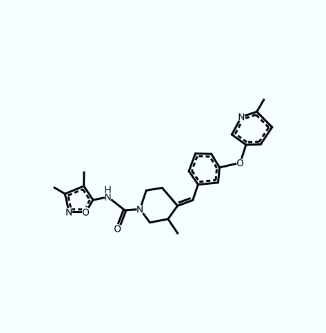 Cc1ccc(Oc2cccc(/C=C3\CCN(C(=O)Nc4onc(C)c4C)CC3C)c2)cn1